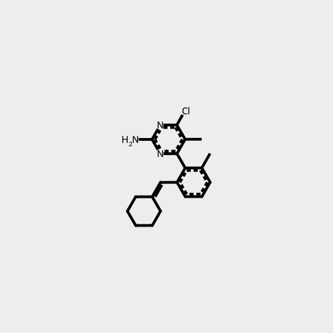 Cc1cccc(C=C2CCCCC2)c1-c1nc(N)nc(Cl)c1C